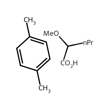 CCCC(OC)C(=O)O.Cc1ccc(C)cc1